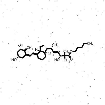 C=C1/C(=C\C=C2/CCC[C@]3(C)[C@@H]([C@H](C)/C=C/[C@H](O)C(C)(C)C(=O)OCCCCC)CC[C@@H]23)C[C@@H](O)C[C@@H]1O